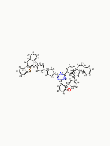 c1ccc(-c2nc(-c3ccc(-c4ccc(-c5c6ccccc6cc6c5sc5ccccc56)cc4)cc3)nc(-c3cccc4oc5ccc(-c6ccc7ccc8ccccc8c7c6)cc5c34)n2)cc1